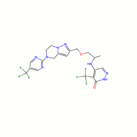 CC(COCc1cc2n(n1)CCN(c1ncc(C(F)(F)F)cn1)C2)Nc1cn[nH]c(=O)c1C(F)(F)F